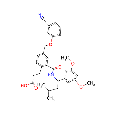 COc1cc(OC)cc(C(CC(C)C)NC(=O)c2cc(COc3cccc(C#N)c3)ccc2CCC(=O)O)c1